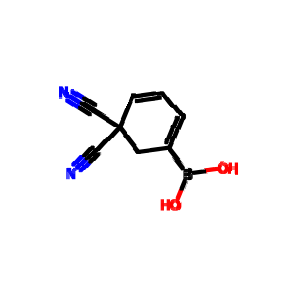 N#CC1(C#N)C=CC=C(B(O)O)C1